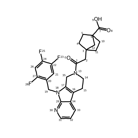 O=C(CC12CCC(C(=O)O)(CC1)C2)N1CCc2c(n(Cc3cc(F)c(F)cc3F)c3ncccc23)C1